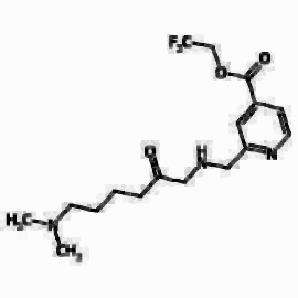 CN(C)CCCCC(=O)CNCc1cc(C(=O)OCC(F)(F)F)ccn1